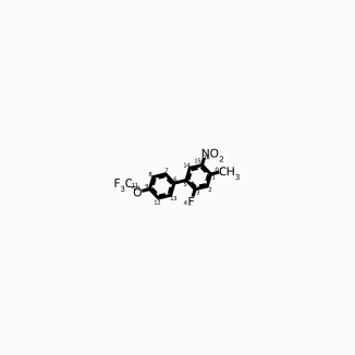 Cc1cc(F)c(-c2ccc(OC(F)(F)F)cc2)cc1[N+](=O)[O-]